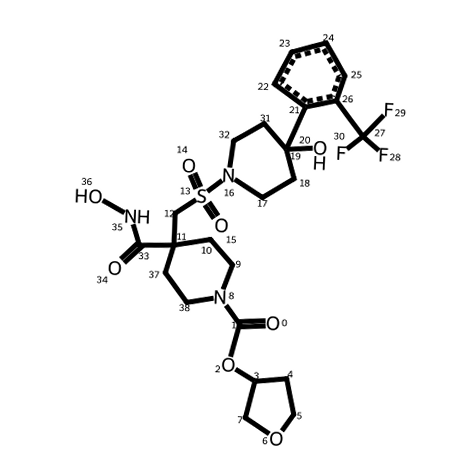 O=C(OC1CCOC1)N1CCC(CS(=O)(=O)N2CCC(O)(c3ccccc3C(F)(F)F)CC2)(C(=O)NO)CC1